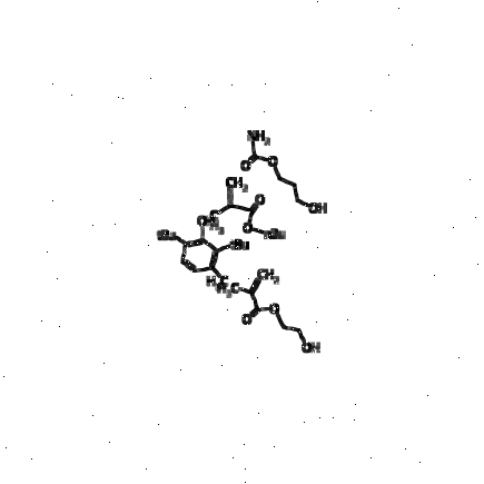 C=C(C)C(=O)OCCCC.C=C(C)C(=O)OCCO.Cc1ccc(C(C)(C)C)c(O)c1C(C)(C)C.NC(=O)OCCCO